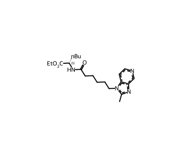 CCCC[C@H](NC(=O)CCCCCn1c(C)nc2cnccc21)C(=O)OCC